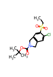 CCS(=O)(=O)c1cc2c(cc1Cl)CN(C(=O)OC(C)(C)C)C2